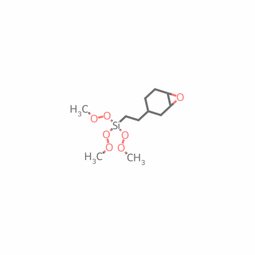 COO[Si](CCC1CCC2OC2C1)(OOC)OOC